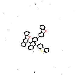 C1=CC2Oc3c(cc4ccccc4c3-c3c4ccccc4c(-c4ccc5c(c4)sc4ccccc45)c4cc(-c5ccc6oc7ccccc7c6c5)ccc34)C2C=C1